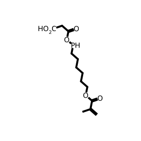 C=C(C)C(=O)OCCCCCCPOC(=O)CC(=O)O